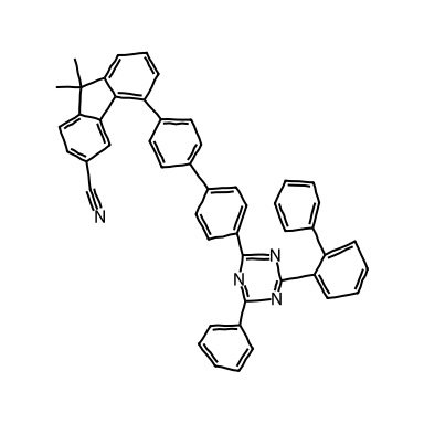 CC1(C)c2ccc(C#N)cc2-c2c(-c3ccc(-c4ccc(-c5nc(-c6ccccc6)nc(-c6ccccc6-c6ccccc6)n5)cc4)cc3)cccc21